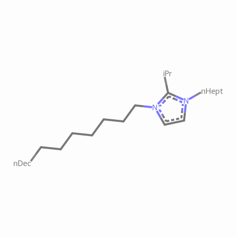 CCCCCCCCCCCCCCCCC[n+]1ccn(CCCCCCC)c1C(C)C